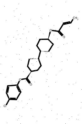 CC=CC(=O)O[C@H]1CC[C@H]([C@H]2CC[C@H](C(=O)Oc3ccc(Cl)cc3)CC2)CC1